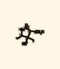 CC(=O)C(C)C(C)(S)C(N)C(=O)O